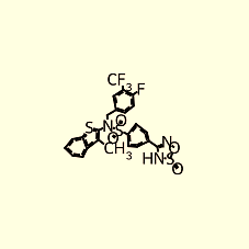 Cc1c(N(Cc2ccc(F)c(C(F)(F)F)c2)S(=O)(=O)c2ccc(C3=NOS(=O)N3)cc2)sc2ccccc12